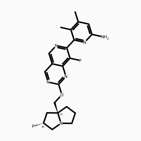 Cc1cc(N)nc(-c2ncc3cnc(OC[C@@]45CCCN4C[C@H](F)C5)nc3c2F)c1C